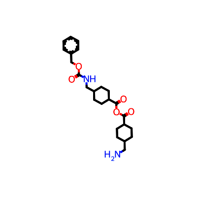 NCC1CCC(C(=O)OC(=O)C2CCC(CNC(=O)OCc3ccccc3)CC2)CC1